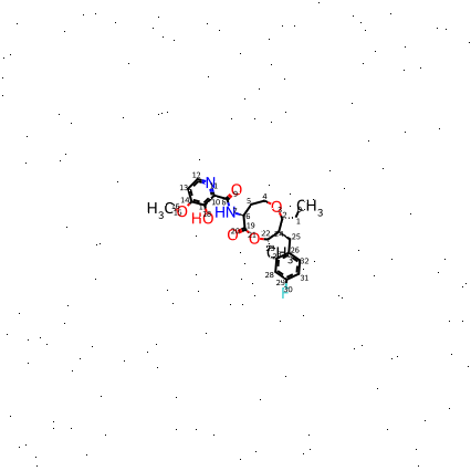 CC[C@H]1OCC[C@H](NC(=O)c2nccc(OC)c2O)C(=O)O[C@@H](C)[C@@H]1Cc1ccc(F)cc1